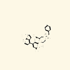 O=c1cc(-c2ccnc3[nH]ccc23)cc(N2CCN(S(=O)(=O)Cc3ccc(F)cc3)CC2C(F)(F)F)[nH]1